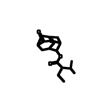 CCC(C(=O)OC1C2CC3CC(C2)C(=O)OC1C3)C(C)C